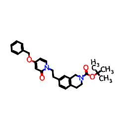 CC(C)(C)OC(=O)N1CCc2ccc(CCn3ccc(OCc4ccccc4)cc3=O)cc2C1